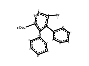 CCCCCCCCCCc1nnc(Br)c(-c2ccccc2)c1-c1ccccc1